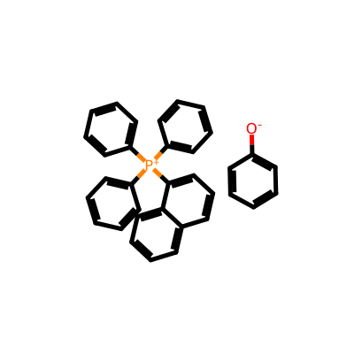 [O-]c1ccccc1.c1ccc([P+](c2ccccc2)(c2ccccc2)c2cccc3ccccc23)cc1